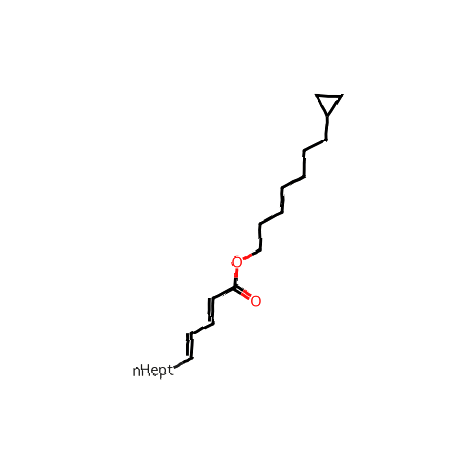 CCCCCCCC=CC=CC(=O)OCCCCCCCC1CC1